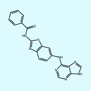 O=C(Nc1nc2ccc(Nc3ncnc4[nH]cnc34)cc2s1)c1ccccc1